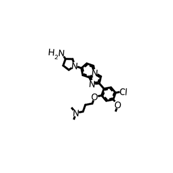 COc1cc(OCCCN(C)C)c(-c2cn3ccc(N4CCC(N)C4)cc3n2)cc1Cl